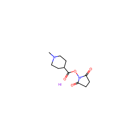 CN1CCC(C(=O)ON2C(=O)CCC2=O)CC1.I